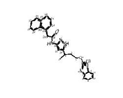 CC(CCOc1nc2ccccc2s1)c1cc(NC(=O)Cc2cccc3ccccc23)n[nH]1